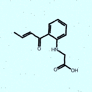 C/C=C/C(=O)c1ccccc1NCC(=O)O